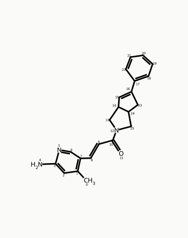 Cc1cc(N)ncc1/C=C/C(=O)N1CC2C=C(c3ccccc3)CC2C1